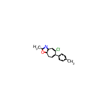 Cc1ccc(C2=CCc3oc(C)nc3C=C2Cl)cc1